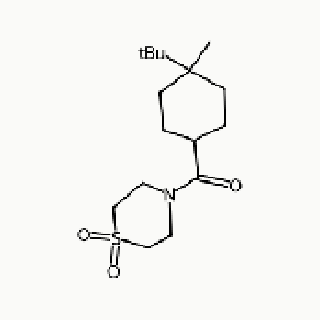 CC(C)(C)C1(C)CCC(C(=O)N2CCS(=O)(=O)CC2)CC1